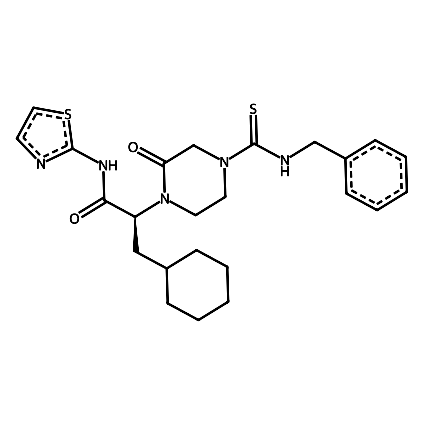 O=C(Nc1nccs1)[C@H](CC1CCCCC1)N1CCN(C(=S)NCc2ccccc2)CC1=O